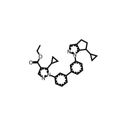 CCOC(=O)c1cnn(-c2cccc(-c3cccc(-n4ncc5c4C(C4CC4)CC5)c3)c2)c1C1CC1